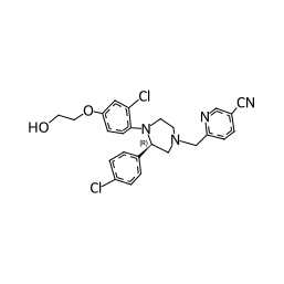 N#Cc1ccc(CN2CCN(c3ccc(OCCO)cc3Cl)[C@H](c3ccc(Cl)cc3)C2)nc1